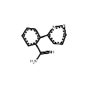 N=C(N)c1ccccc1-c1cccnn1